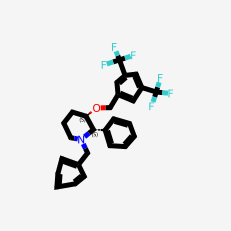 FC(F)(F)c1cc(CO[C@H]2CCCN(Cc3ccccc3)[C@H]2c2ccccc2)cc(C(F)(F)F)c1